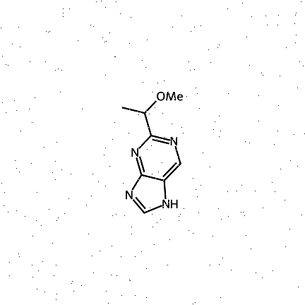 COC(C)c1ncc2[nH]cnc2n1